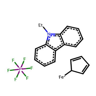 CCn1c2ccccc2c2ccccc21.F[P-](F)(F)(F)(F)F.[Fe+][CH]1C=CC=C1